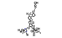 C=N/C=C(\C=C(/C)C#N)COc1cc(O[C@H]2CCc3c(-c4cccc(OCCCN5CC(O)C5)c4C)cccc32)c(Cl)cc1CN[C@H](C(=O)O)[C@@H](C)O